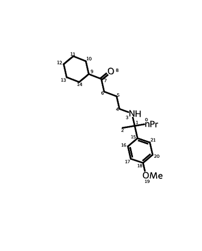 CCCC(C)(NCCCC(=O)C1CCCCC1)c1ccc(OC)cc1